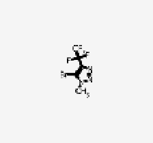 Cn1nnc(C(F)(F)C(F)(F)F)c1Br